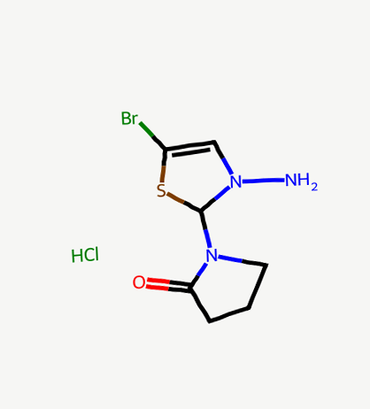 Cl.NN1C=C(Br)SC1N1CCCC1=O